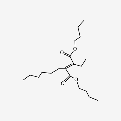 CCCCCCC(C(=O)OCCCC)=C(CC)C(=O)OCCCC